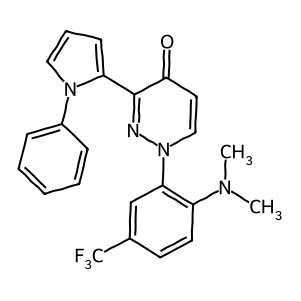 CN(C)c1ccc(C(F)(F)F)cc1-n1ccc(=O)c(-c2cccn2-c2ccccc2)n1